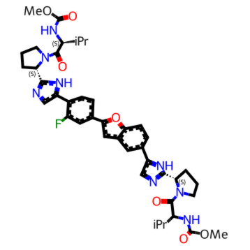 COC(=O)NC(C(=O)N1CCC[C@H]1c1ncc(-c2ccc3oc(-c4ccc(-c5cnc([C@@H]6CCCN6C(=O)[C@@H](NC(=O)OC)C(C)C)[nH]5)c(F)c4)cc3c2)[nH]1)C(C)C